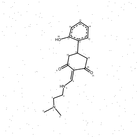 CN(C)CCNC=C1C(=O)CC(c2ccccc2O)CC1=O